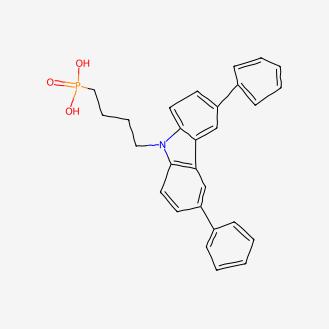 O=P(O)(O)CCCCn1c2ccc(-c3ccccc3)cc2c2cc(-c3ccccc3)ccc21